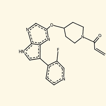 C=CC(=O)N1CCC(Oc2cnc3[nH]cc(-c4ccncc4F)c3n2)CC1